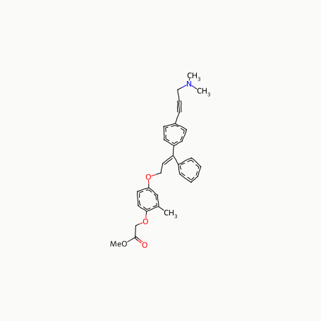 COC(=O)COc1ccc(OC/C=C(\c2ccccc2)c2ccc(C#CCN(C)C)cc2)cc1C